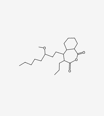 CCCCCC(CCC1C(CCC)C(=O)OC(=O)C2CCCCC21)OC